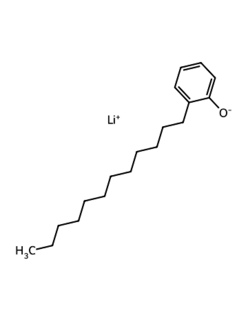 CCCCCCCCCCCCc1ccccc1[O-].[Li+]